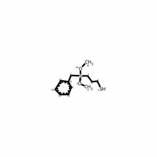 CO[Si](CCCS)(Cc1ccccc1)OC